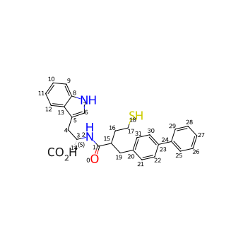 O=C(N[C@@H](Cc1c[nH]c2ccccc12)C(=O)O)C(CCS)Cc1ccc(-c2ccccc2)cc1